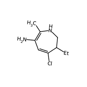 CCC1CNC(C)=C(N)C=C1Cl